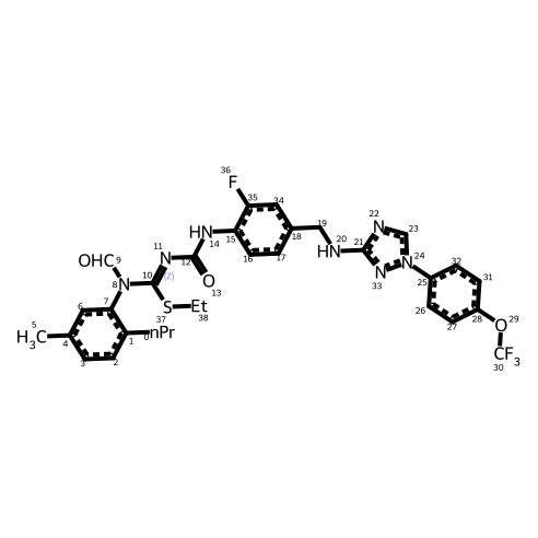 CCCc1ccc(C)cc1N(C=O)/C(=N/C(=O)Nc1ccc(CNc2ncn(-c3ccc(OC(F)(F)F)cc3)n2)cc1F)SCC